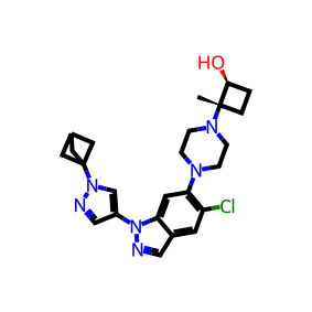 C[C@]1(N2CCN(c3cc4c(cnn4-c4cnn(C56CC(C5)C6)c4)cc3Cl)CC2)CC[C@@H]1O